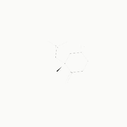 CN(C)C[C@]1(C)CCCCC1=O.Cl